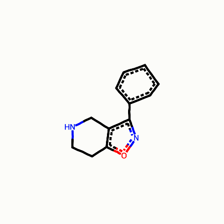 c1ccc(-c2noc3c2CNCC3)cc1